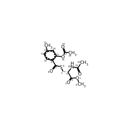 COC(=O)[C@H](CSC(=O)c1ccc(C)cc1OC(C)=O)NC(C)=O